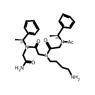 CC(=O)N(CC(=O)N(CCCCN)CC(=O)N(CC(N)=O)[C@@H](C)c1ccccc1)[C@@H](C)c1ccccc1